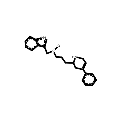 [O-][S+](CCCC1CC(c2ccccc2)=CCN1)Cc1c[nH]c2ccccc12